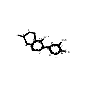 CC1CCc2c(ccc(-c3ccc(F)c(F)c3)c2F)C1